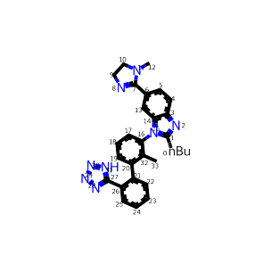 CCCCc1nc2ccc(C3=NCCN3C)cc2n1-c1cccc(-c2ccccc2-c2nnn[nH]2)c1C